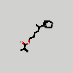 C=C(C)C(=O)OCCCCC(C)C1=CC2CCC1C2